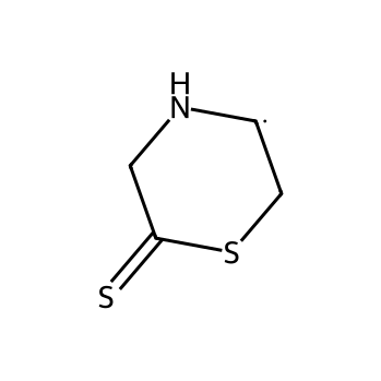 S=C1CN[CH]CS1